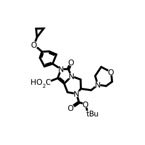 CC(C)(C)OC(=O)N1Cc2c(C(=O)O)n(-c3ccc(OC4CC4)cc3)c(=O)n2CC1CN1CCOCC1